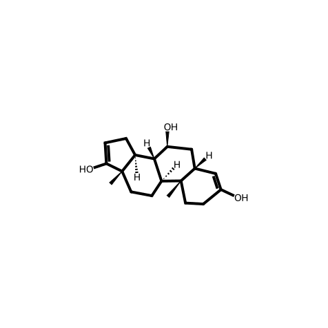 C[C@]12CCC(O)=C[C@H]1C[C@H](O)[C@@H]1[C@@H]2CC[C@]2(C)C(O)=CC[C@@H]12